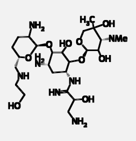 CN[C@@H]1C(O)[C@@H](OC2C(O)C(O[C@H]3O[C@H](CNCCO)CCC3N)[C@@H](N)C[C@H]2NC(=N)C(O)CN)OCC1(C)O